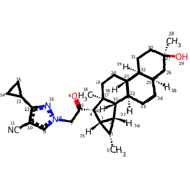 C[C@H]1[C@@H]2[C@H]1[C@H](C(=O)Cn1cc(C#N)c(C3CC3)n1)[C@@]1(C)CC[C@H]3[C@@H](CC[C@@H]4C[C@](C)(O)CC[C@@H]43)[C@H]21